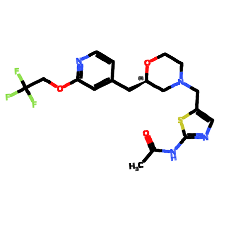 CC(=O)Nc1ncc(CN2CCO[C@H](Cc3ccnc(OCC(F)(F)F)c3)C2)s1